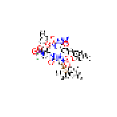 Cc1cn([C@@H](C)O[C@@H](C)COP(=O)(Cl)N2CCC(NC(=O)C(CSSC(C)(C)C)NC(=O)OCC(C)C)CC2)c(=O)[nH]c1=O